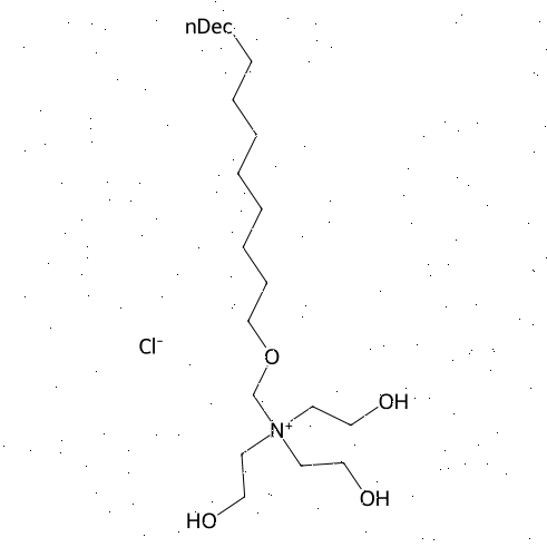 CCCCCCCCCCCCCCCCCCOC[N+](CCO)(CCO)CCO.[Cl-]